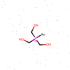 OC[PH]([Au])(CO)CO